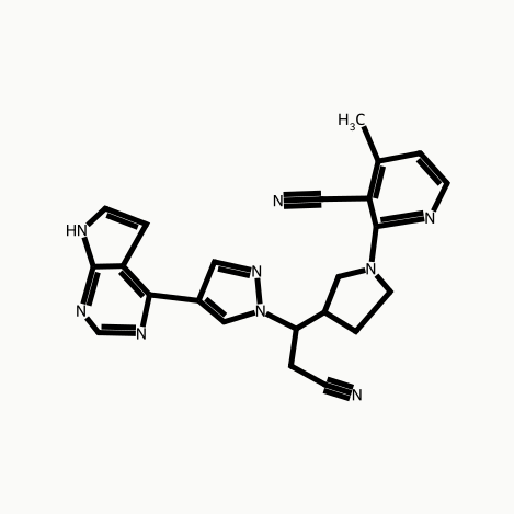 Cc1ccnc(N2CCC(C(CC#N)n3cc(-c4ncnc5[nH]ccc45)cn3)C2)c1C#N